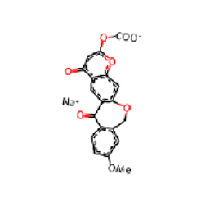 COc1ccc2c(c1)COc1cc3oc(OC(=O)[O-])cc(=O)c3cc1C2=O.[Na+]